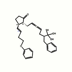 O=C1CC[C@H](/C=C/CCOc2ccccc2)[C@H]1CC=C=CCC(Cc1ccccc1)C(O)(O)S